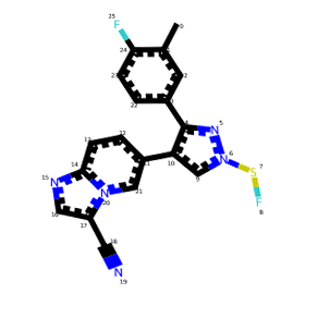 Cc1cc(-c2nn(SF)cc2-c2ccc3ncc(C#N)n3c2)ccc1F